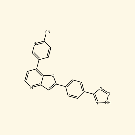 N#Cc1ccc(-c2ccnc3cc(-c4ccc(-c5nn[nH]n5)cc4)oc23)cn1